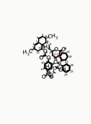 C[C@H]1C=C2C=C[C@H](C)[C@H](CC[C@@H]3C[C@@H](O[Si](c4ccccc4)(c4ccccc4)C(C)(C)C)CC(=O)O3)[C@H]2[C@@H](OC(=O)Oc2ccc([N+](=O)[O-])cc2)C1